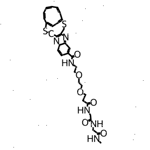 CNC(=O)CNC(=O)CNC(=O)CCOCCOCCNC(=O)c1ccc2nc3c(nc2c1)CSc1ccccccc(cc1)SC3